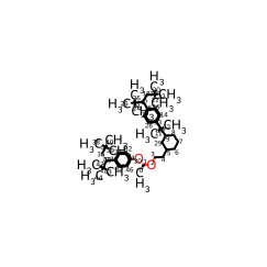 CC(OCCC1CCCC(C(C)(C)c2ccc(C(CC(C)(C)C)C(C)(C)C)cc2)C1)Oc1ccc([C@@H](CC(C)(C)C)C(C)(C)C)cc1